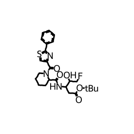 CC(C)(C)OC(=O)CC(NC(=O)C1CCCCN1C(=O)c1csc(-c2ccccc2)n1)C(O)CF